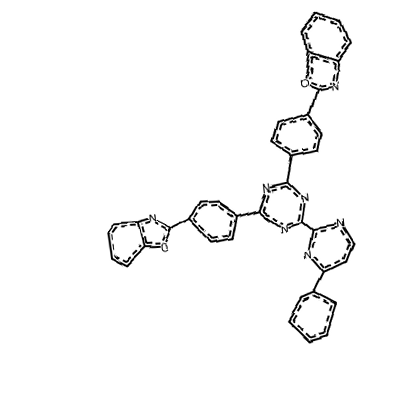 c1ccc(-c2ccnc(-c3nc(-c4ccc(-c5nc6ccccc6o5)cc4)nc(-c4ccc(-c5nc6ccccc6o5)cc4)n3)n2)cc1